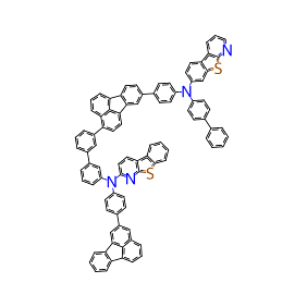 c1ccc(-c2ccc(N(c3ccc(-c4ccc5c(c4)-c4ccc(-c6cccc(-c7cccc(N(c8ccc(-c9cc%10c%11c(cccc%11c9)-c9ccccc9-%10)cc8)c8ccc9c(n8)sc8ccccc89)c7)c6)c6cccc-5c46)cc3)c3ccc4c(c3)sc3ncccc34)cc2)cc1